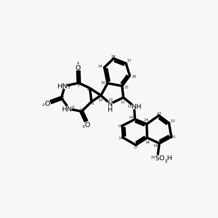 O=C1NC(=O)C2C(C(=O)N1)C21NC(Nc2cccc3c(S(=O)(=O)O)cccc23)c2ccccc21